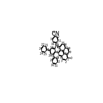 Cc1ccc2ccc3c(N(c4ccc(C#N)cc4)c4cc(-c5ccccc5)cc(-c5ccccc5)c4)ccc4ccc1c2c43